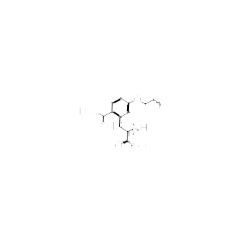 CC(C)c1ccc(OCCF)cc1CC(N)C(=O)O